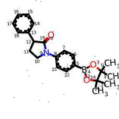 CC1(C)OB(c2ccc(N3CCC(c4ccccc4)C3=O)cc2)OC1(C)C